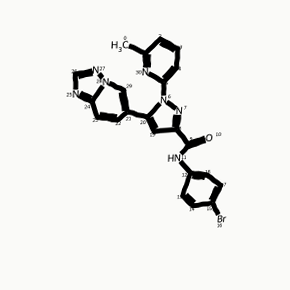 Cc1cccc(-n2nc(C(=O)Nc3ccc(Br)cc3)cc2-c2ccc3ncnn3c2)n1